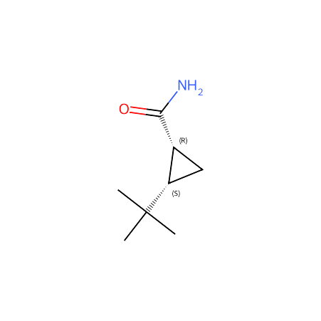 CC(C)(C)[C@H]1C[C@H]1C(N)=O